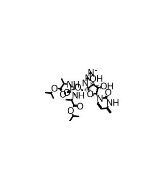 C=C1C=CN([C@@H]2O[C@@](COP(=O)(NC(C)C(=O)OC(C)C)NC(C)C(=O)OC(C)C)(N=[N+]=[N-])[C@@H](O)[C@H]2O)C(=O)N1